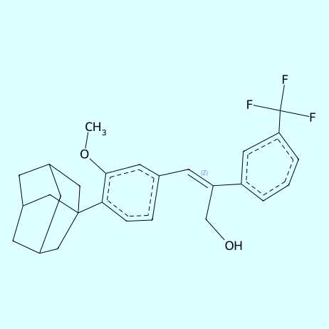 COc1cc(/C=C(\CO)c2cccc(C(F)(F)F)c2)ccc1C12CC3CC(CC(C3)C1)C2